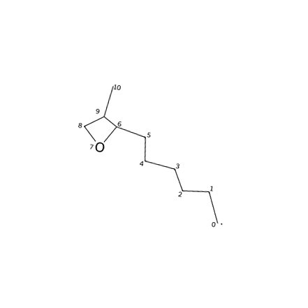 [CH2]CCCCCC1OCC1C